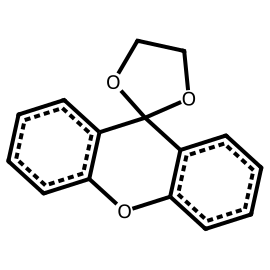 c1ccc2c(c1)Oc1ccccc1C21OCCO1